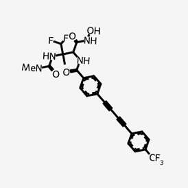 CNC(=O)NC(C)(C(F)F)C(NC(=O)c1ccc(C#CC#Cc2ccc(C(F)(F)F)cc2)cc1)C(=O)NO